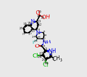 Cc1[nH]c(C(=O)N[C@@H]2CCN(c3cc(C(=O)O)nc4ccccc34)C[C@@H]2F)c(Cl)c1Cl